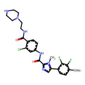 COc1ccc(-c2cnc(C(=O)Nc3ccc(C(=O)NCCN4CCNCC4)c(Cl)c3)n2C)c(F)c1F